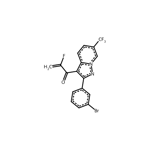 C=C(F)C(=O)c1c(-c2cccc(Br)c2)nn2cc(C(F)(F)F)ccc12